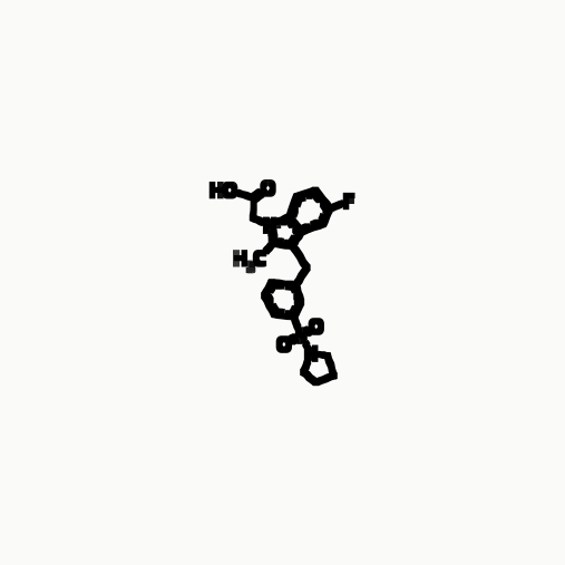 Cc1c(Cc2cccc(S(=O)(=O)N3CCCC3)c2)c2cc(F)ccc2n1CC(=O)O